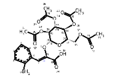 Bc1ccccc1/C=C(\O[C@H]1O[C@@H](COC(C)=O)[C@H](OC(C)=O)[C@@H](OC(C)=O)[C@@H]1OC(C)=O)C(=O)O